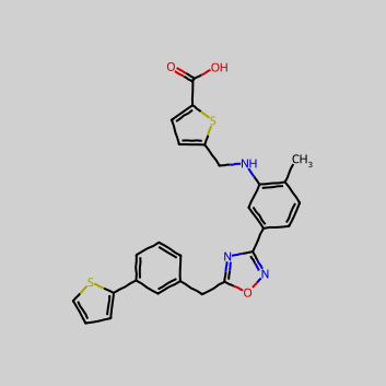 Cc1ccc(-c2noc(Cc3cccc(-c4cccs4)c3)n2)cc1NCc1ccc(C(=O)O)s1